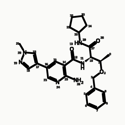 C[C@@H](OCc1ccccc1)[C@H](NC(=O)c1cc(-c2cnn(C)c2)cnc1N)C(=O)NC1CCCC1